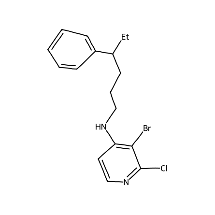 CCC(CCCNc1ccnc(Cl)c1Br)c1ccccc1